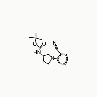 CC(C)(C)OC(=O)N[C@H]1CCN(c2ccccc2C#N)C1